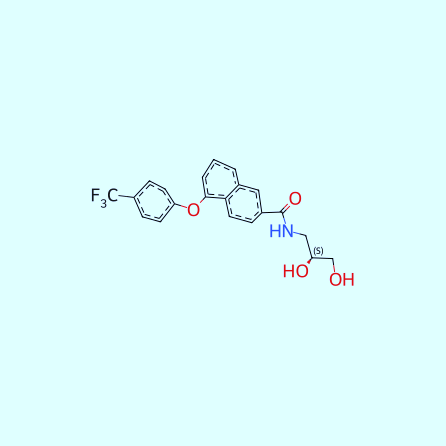 O=C(NC[C@H](O)CO)c1ccc2c(Oc3ccc(C(F)(F)F)cc3)cccc2c1